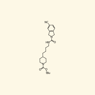 CC(C)(C)OC(=O)N1CCC(CCCCNC(=O)N2Cc3ccc(C#N)cc3C2)CC1